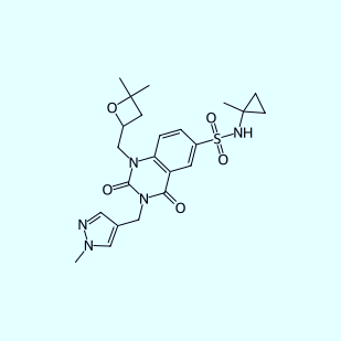 Cn1cc(Cn2c(=O)c3cc(S(=O)(=O)NC4(C)CC4)ccc3n(CC3CC(C)(C)O3)c2=O)cn1